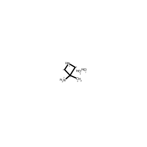 CC1(N)CNC1.Cl.Cl